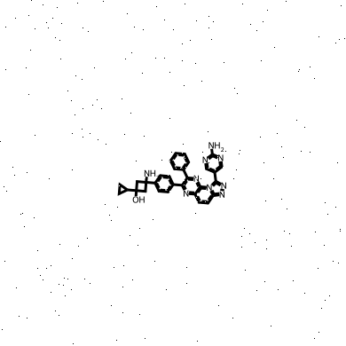 Nc1ncc(-c2nnc3ccc4nc(-c5ccc(C6(N)CC(O)(C7CC7)C6)cc5)c(-c5ccccc5)nc4n23)cn1